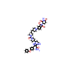 NC(=O)c1c(-c2ccc(Oc3ccccc3)cc2)nn2c1NCCC2C1CCN(C(=O)N2CCC(CC3CCN(c4ccc5c(c4)C(=O)N(C4CCC(=O)NC4=O)C5=O)CC3)CC2)CC1